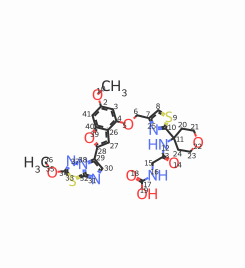 COc1cc(OCc2csc(C3(NC(=O)CNC(=O)O)CCOCC3)n2)c2cc(-c3cnc4sc(OC)nn34)oc2c1